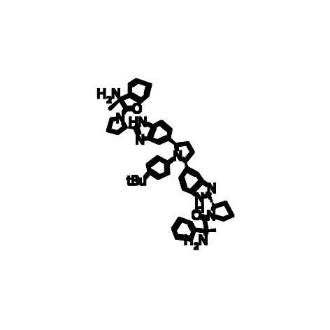 CC(C)(C)c1ccc(N2[C@@H](c3ccc4[nH]c([C@@H]5CCCN5C(=O)[C@](C)(N)c5ccccc5)nc4c3)CC[C@@H]2c2ccc3[nH]c([C@@H]4CCCN4C(=O)[C@](C)(N)c4ccccc4)nc3c2)cc1